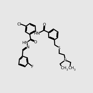 CCN(CC)CCSCc1cccc(C(=O)Nc2ccc(Cl)cc2C(=O)N/N=C/c2cccc(F)c2)c1